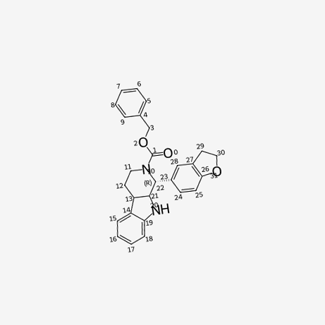 O=C(OCc1ccccc1)N1CCC2c3ccccc3NC2[C@H]1c1ccc2c(c1)CCO2